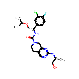 CC(C)OC[C@@H](NC(=O)N1CCc2cnc(N[C@@H](C)CO)nc2C1)c1ccc(F)c(Cl)c1